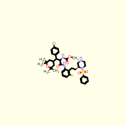 COC(=O)NC(C(=O)Nc1cccc(F)c1CC[C@H]1CNCCN1S(=O)(=O)c1ccccc1)C(c1ccc(Cl)cc1)C1CC(C)(C)OC(C)(C)C1